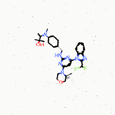 CC(N(C)[C@H]1CC[C@H](CNc2nc(N3CCOC[C@@H]3C)cc(-n3c(C(F)F)nc4ccccc43)n2)CC1)C(C)(C)O